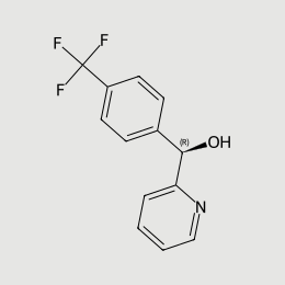 O[C@H](c1ccc(C(F)(F)F)cc1)c1ccccn1